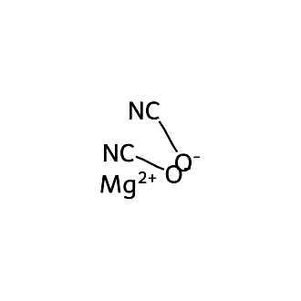 N#C[O-].N#C[O-].[Mg+2]